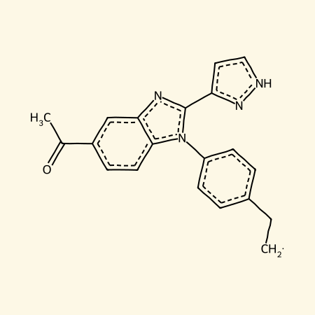 [CH2]Cc1ccc(-n2c(-c3cc[nH]n3)nc3cc(C(C)=O)ccc32)cc1